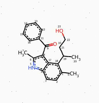 Cc1ccc2[nH]c(C)c(C(=O)c3ccccc3)c2c1C(C)CCO